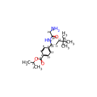 CC(C)OC(=O)c1ccc([C@@H](CCC(C)(C)C)NC(=O)CN)cc1